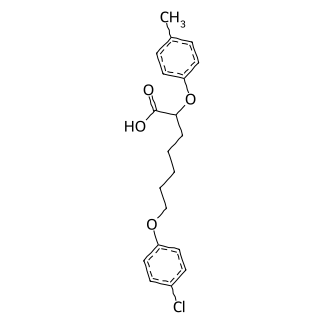 Cc1ccc(OC(CCCCCOc2ccc(Cl)cc2)C(=O)O)cc1